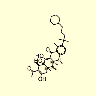 C=C1C(C(C)=O)=C(O)C[C@@]2(C)[C@H](C)[C@]3(C)C(=C(O)[C@@]12O)C(=O)c1c(ccc(C(C)(C)CCCC2CCCCC2)c1C)[C@H]3C